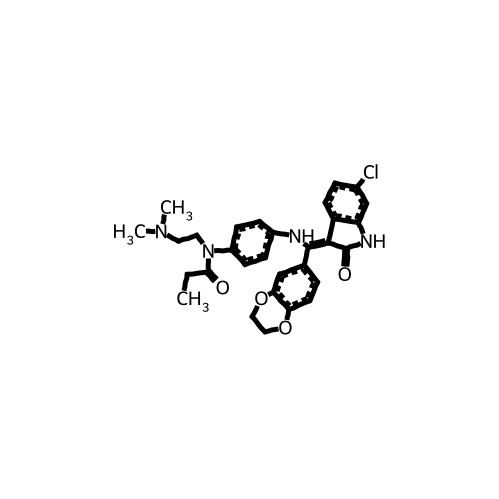 CCC(=O)N(CCN(C)C)c1ccc(NC(=C2C(=O)Nc3cc(Cl)ccc32)c2ccc3c(c2)OCCO3)cc1